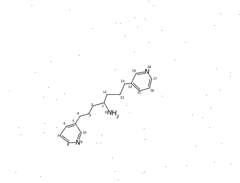 NC(CCCc1cccnc1)CCCc1cccnc1